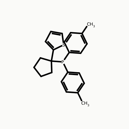 Cc1ccc(P(c2ccc(C)cc2)C2(c3cccs3)CCCC2)cc1